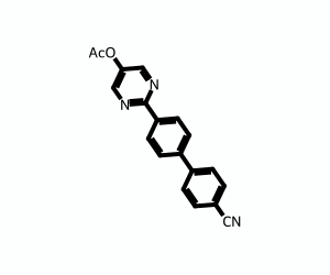 CC(=O)Oc1cnc(-c2ccc(-c3ccc(C#N)cc3)cc2)nc1